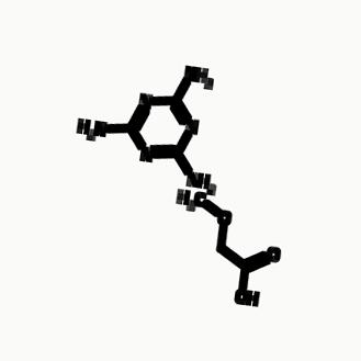 COCC(=O)O.Nc1nc(N)nc(N)n1